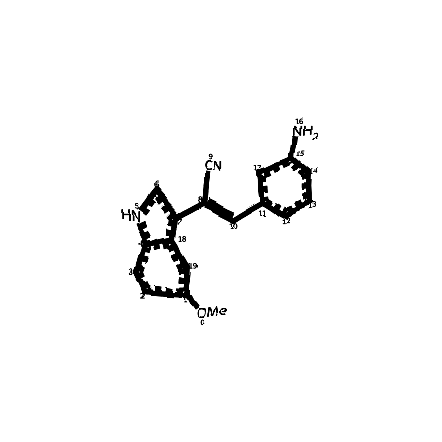 COc1ccc2[nH]cc(C(C#N)=Cc3cccc(N)c3)c2c1